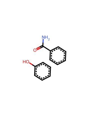 NC(=O)c1ccccc1.Oc1ccccc1